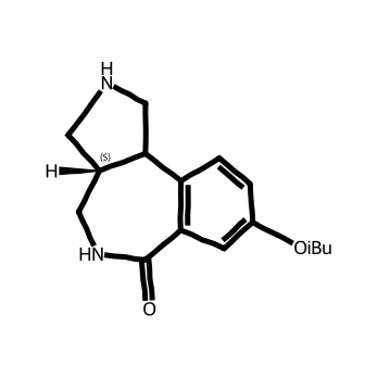 CC(C)COc1ccc2c(c1)C(=O)NC[C@@H]1CNCC21